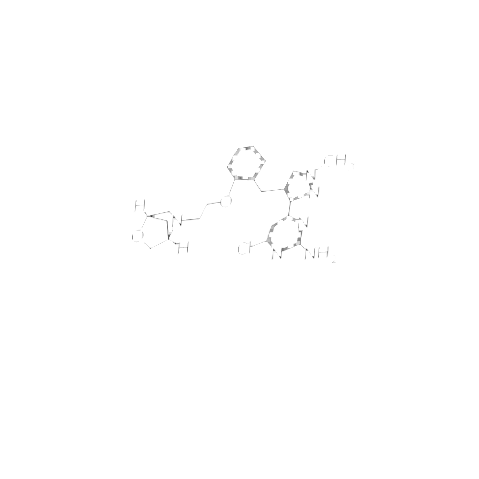 Cn1cc(Cc2ccccc2OCCN2C[C@@H]3C[C@H]2CO3)c(-c2cc(Cl)nc(N)n2)n1